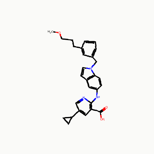 COCCCc1cccc(Cn2ccc3cc(Nc4ncc(C5CC5)cc4C(=O)O)ccc32)c1